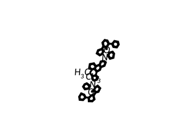 CC1(C)c2cc(N(c3ccccc3)c3cccc4c3oc3c(-c5ccccc5)cccc34)ccc2-c2cc3ccc(N(c4ccccc4)c4cccc5c4oc4c(-c6ccccc6)cccc45)cc3c3cccc1c23